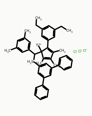 CCc1cc(CC)cc(C2=C(C)C(C)=C(C)[C]2([Ti+3])C([SiH2]c2cc(-c3ccccc3)cc(-c3ccccc3)c2)c2cc(C)cc(C)c2)c1.[Cl-].[Cl-].[Cl-]